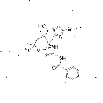 CCC1(C)C[C@@H](CO)[C@](NC(=S)NC(=O)c2ccccc2)(c2nc(Br)cs2)CO1